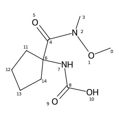 CON(C)C(=O)C1(NC(=O)O)CCCC1